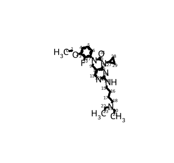 CCOc1cccc(N2Cc3cnc(NCCCCN(CC)CC)nc3N(C3CC3)C2=O)c1F